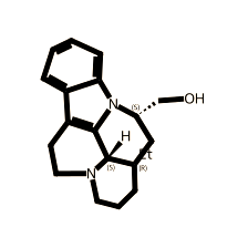 CC[C@@]12CCCN3CCc4c(n(c5ccccc45)[C@H](CO)C1)[C@@H]32